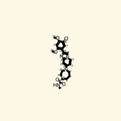 CNS(=O)(=O)N1CCCN(c2ccn3cc(-c4cc(Cl)c(OC)cc4OC)nc3c2)CC1